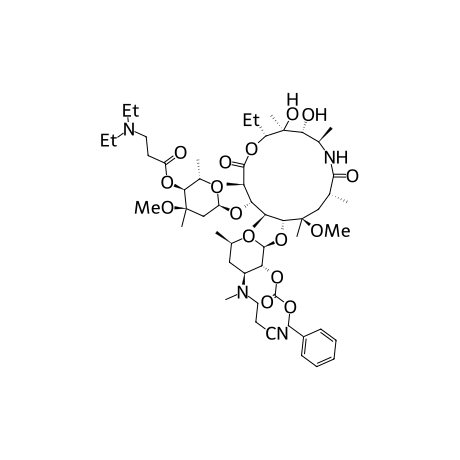 CC[C@H]1OC(=O)[C@H](C)[C@@H](O[C@H]2C[C@@](C)(OC)[C@@H](OC(=O)CCN(CC)CC)[C@H](C)O2)[C@H](C)[C@@H](O[C@@H]2O[C@H](C)C[C@H](N(C)CCC#N)[C@H]2OC(=O)OCc2ccccc2)[C@](C)(OC)C[C@@H](C)C(=O)N[C@H](C)[C@@H](O)[C@]1(C)O